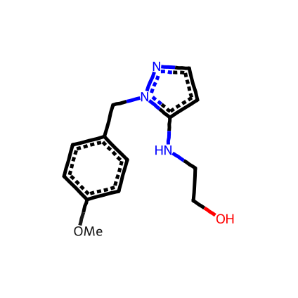 COc1ccc(Cn2nccc2NCCO)cc1